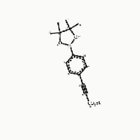 CCOC(=O)C#Cc1ccc(B2OC(C)(C)C(C)(C)O2)cc1